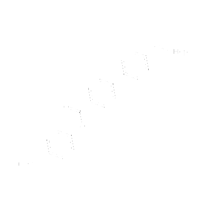 CCCCCCCOc1ccc(-c2ccc(C(=O)Oc3ccc(CCCCC)cc3)cc2)cc1